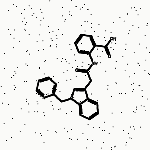 O=C(Cc1cn(Cc2ccccn2)c2ccccc12)Nc1ccccc1C(=O)O